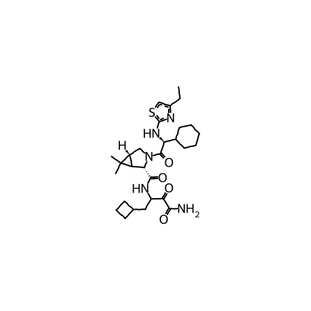 CCc1csc(N[C@H](C(=O)N2C[C@@H]3C([C@H]2C(=O)NC(CC2CCC2)C(=O)C(N)=O)C3(C)C)C2CCCCC2)n1